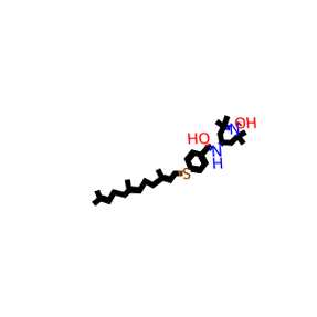 CC(C)=CCC/C(C)=C/CC/C(C)=C/CSc1ccc(C(O)NC2CC(C)(C)N(O)C(C)(C)C2)cc1